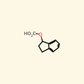 O=C(O)OC1CCc2ccccc21